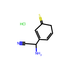 Cl.N#CC(N)C1=CC(=S)CC=C1